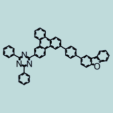 c1ccc(-c2nc(-c3ccccc3)nc(-c3ccc4c5cc(-c6ccc(-c7ccc8oc9ccccc9c8c7)cc6)ccc5c5ccccc5c4c3)n2)cc1